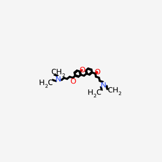 C=CCN(CC=C)CCCCC(=O)c1ccc2c(c1)Cc1cc(C(=O)CCCCN(CC=C)CC=C)ccc1O2